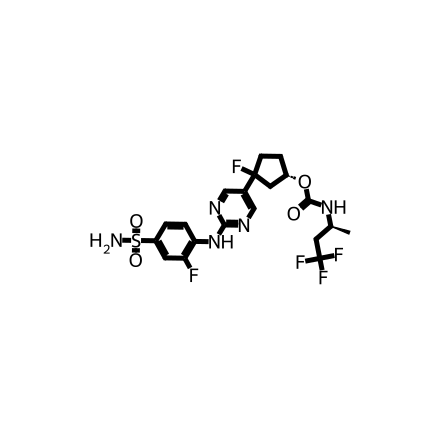 C[C@@H](CC(F)(F)F)NC(=O)O[C@H]1CCC(F)(c2cnc(Nc3ccc(S(N)(=O)=O)cc3F)nc2)C1